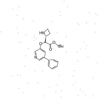 CC(C)(C)OC(=O)C(Oc1cncc(-c2ccccc2)c1)[C@@H]1CCN1